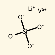 [Li+].[O-][Si]([O-])([O-])[O-].[V+5]